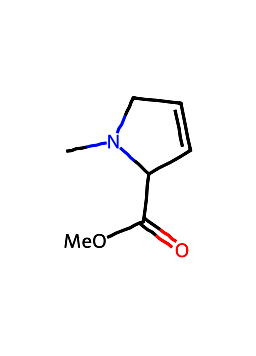 COC(=O)C1C=CCN1C